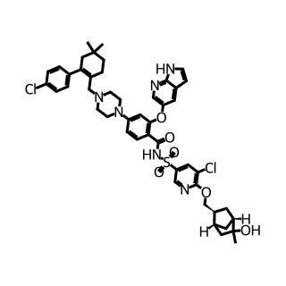 CC1(C)CCC(CN2CCN(c3ccc(C(=O)NS(=O)(=O)c4cnc(OC[C@H]5C[C@H]6C[C@@H]5CC6(C)O)c(Cl)c4)c(Oc4cnc5[nH]ccc5c4)c3)CC2)=C(c2ccc(Cl)cc2)C1